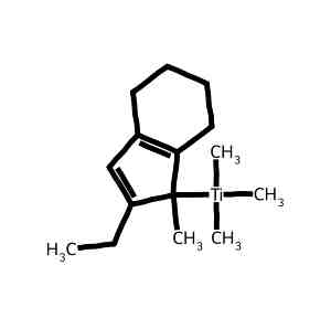 CCC1=CC2=C(CCCC2)[C]1(C)[Ti]([CH3])([CH3])[CH3]